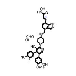 COc1ccc(-c2cnc(N3CCC(NCc4ccc(/C=C/C(=O)NO)c5[nH]ncc45)CC3)c(C#N)c2-c2ccc(C#N)c(F)c2)cc1O.O=CO